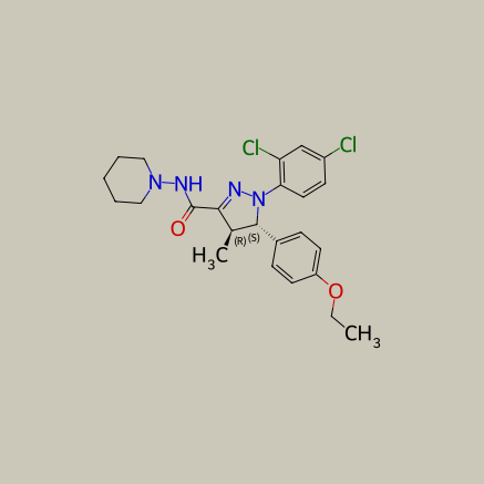 CCOc1ccc([C@@H]2[C@@H](C)C(C(=O)NN3CCCCC3)=NN2c2ccc(Cl)cc2Cl)cc1